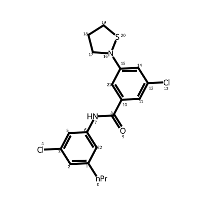 CCCc1cc(Cl)cc(NC(=O)c2cc(Cl)cc(N3CCCS3)c2)c1